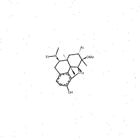 CCN(C)[C@@H]1Cc2ccc(O)c3c2[C@@]2(C)[C@@H](O3)[C@](C)(OC)[C@@H](C(C)=O)C[C@]12C